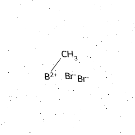 [B+2]C.[Br-].[Br-]